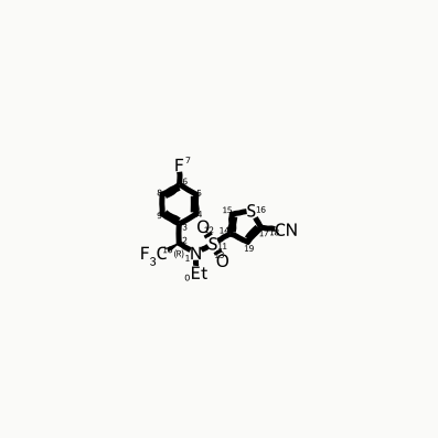 CCN([C@H](c1ccc(F)cc1)C(F)(F)F)S(=O)(=O)c1csc(C#N)c1